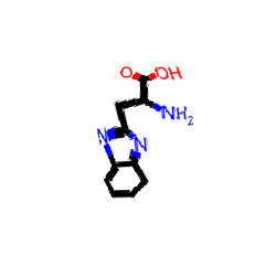 NC(CC1=NC2=CC=CCC2=N1)C(=O)O